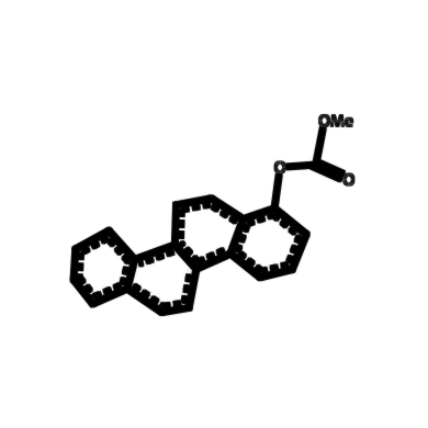 COC(=O)Oc1cccc2c1ccc1c3ccccc3ccc21